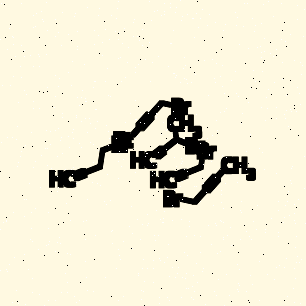 C#CC(C)Br.C#CCBr.C#CCCBr.CC#CCBr.CCC#CCBr